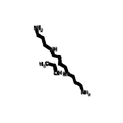 CCO.NCCCNCCCCNCCCN